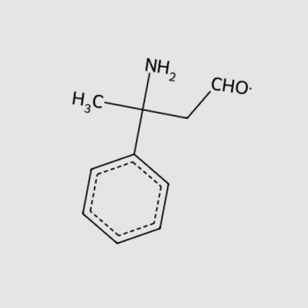 CC(N)(C[C]=O)c1ccccc1